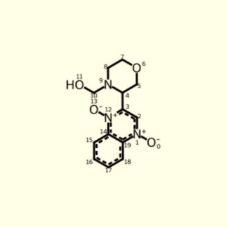 [O-][n+]1cc(C2COCCN2CO)[n+]([O-])c2ccccc21